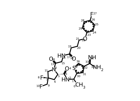 CC(NC(=O)[C@@H]1C[C@](F)(CF)CN1C(=O)CNC(=O)CCCOc1ccc(F)cc1)c1cc(C(=N)N)cs1